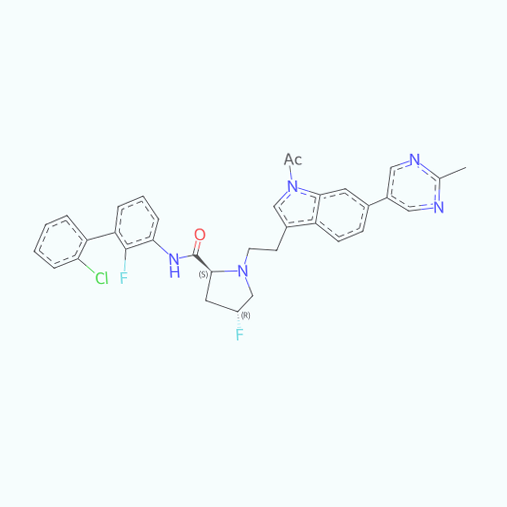 CC(=O)n1cc(CCN2C[C@H](F)C[C@H]2C(=O)Nc2cccc(-c3ccccc3Cl)c2F)c2ccc(-c3cnc(C)nc3)cc21